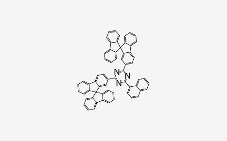 c1ccc2c(c1)-c1ccccc1C21c2ccccc2-c2ccc(-c3nc(-c4ccc5c(c4)C4(c6ccccc6-c6ccccc64)c4ccccc4-5)nc(-c4cccc5ccccc45)n3)cc21